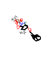 Cc1cc(C(=O)NS(C)(=O)=O)c(F)cc1OCC12CC3CC(CC(C3)C1)C2